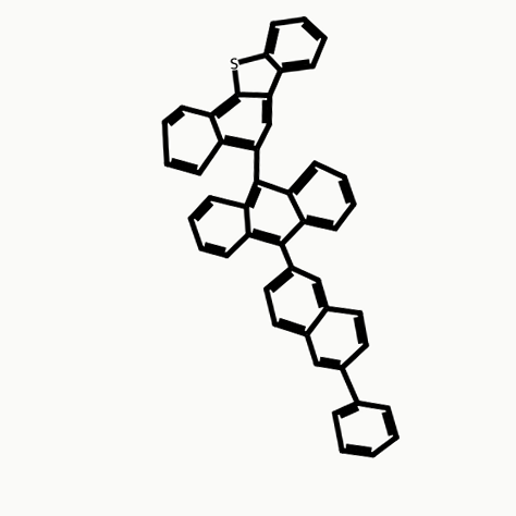 c1ccc(-c2ccc3cc(-c4c5ccccc5c(-c5cc6c7ccccc7sc6c6ccccc56)c5ccccc45)ccc3c2)cc1